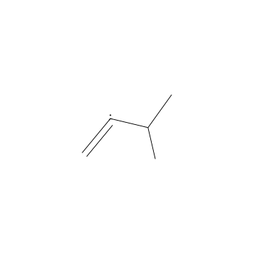 C=[C]C(C)C